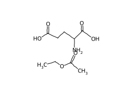 CCOC(C)=O.NC(CCC(=O)O)C(=O)O